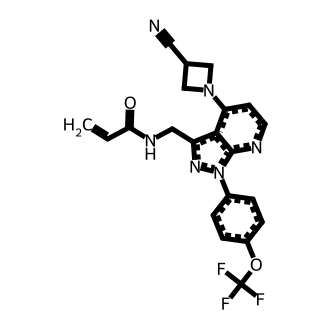 C=CC(=O)NCc1nn(-c2ccc(OC(F)(F)F)cc2)c2nccc(N3CC(C#N)C3)c12